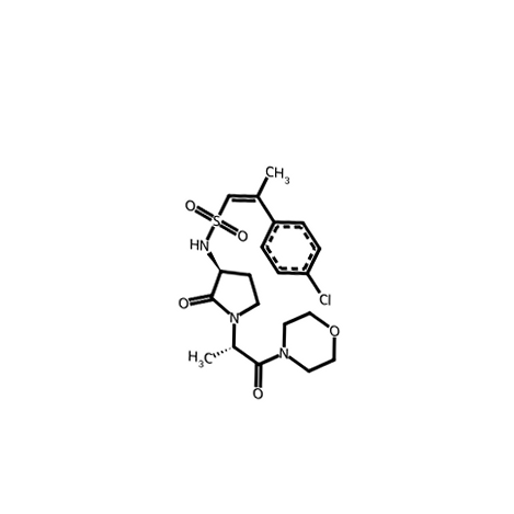 CC(=CS(=O)(=O)N[C@H]1CCN([C@@H](C)C(=O)N2CCOCC2)C1=O)c1ccc(Cl)cc1